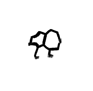 CC(C)C1=CSCCc2ccnc(C(C)C)c21